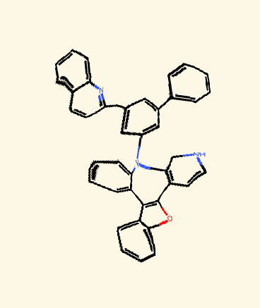 C1=CC2=C(CN1)N(c1cc(-c3ccccc3)cc(-c3ccc4ccccc4n3)c1)c1ccccc1-c1c2oc2ccccc12